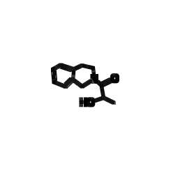 CC(O)C(=O)N1CCc2ccccc2C1